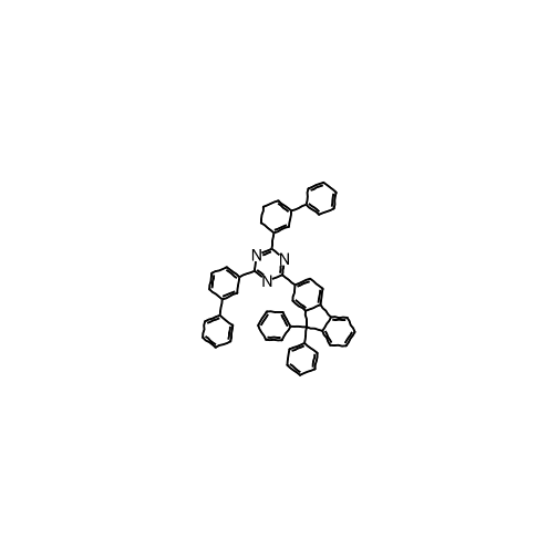 C1=C(c2ccccc2)C=C(c2nc(-c3cccc(-c4ccccc4)c3)nc(-c3ccc4c(c3)C(c3ccccc3)(c3ccccc3)c3ccccc3-4)n2)CC1